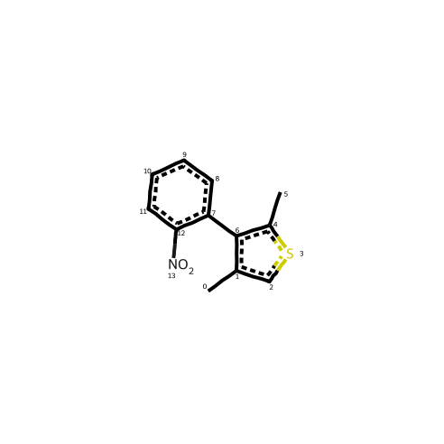 Cc1csc(C)c1-c1ccccc1[N+](=O)[O-]